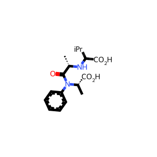 CC(C)C(N[C@@H](C)C(=O)N(c1ccccc1)[C@@H](C)C(=O)O)C(=O)O